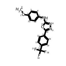 COc1ccc(Nc2nnc(-c3ccc(C(F)(F)F)cc3)o2)cc1